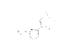 CN(C)C=C(C#N)c1cccc(C(F)(F)F)c1